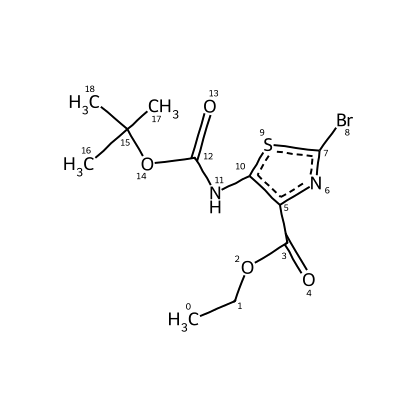 CCOC(=O)c1nc(Br)sc1NC(=O)OC(C)(C)C